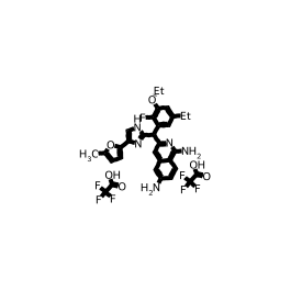 CCOc1cc(CC)cc(C(c2cc3cc(N)ccc3c(N)n2)c2nc(-c3ccc(C)o3)c[nH]2)c1F.O=C(O)C(F)(F)F.O=C(O)C(F)(F)F